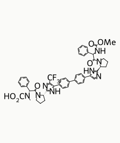 COC(=O)N[C@@H](C(=O)N1CCC[C@H]1c1ncc(-c2ccc(-c3ccc(-c4[nH]c([C@@H]5CCCN5C(=O)[C@@H](c5ccccc5)N(C)C(=O)O)nc4C(F)(F)F)cc3)cc2)[nH]1)c1ccccc1